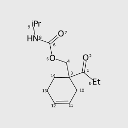 CCC(=O)C1(COC(=O)NC(C)C)CC=CCC1